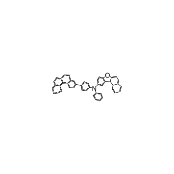 C1=CC2=CC=C3Oc4ccc(N(c5ccccc5)c5ccc(-c6ccc7c(ccc8ccc9ccccc9c87)c6)cc5)cc4C3C2C=C1